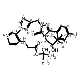 CC(C)(C)OC(=O)CNc1ccncc1-n1cnc(Cn2nc(-c3ccc(Cl)cc3)n(C[C@H](O)C(F)(F)F)c2=O)n1